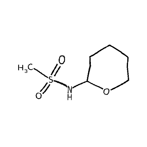 CS(=O)(=O)NC1CCCCO1